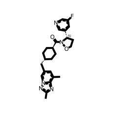 Cc1nc2c(C)cc(C[C@H]3CC[C@H](C(=O)N4OCC[C@H]4c4cncc(F)c4)CC3)cn2n1